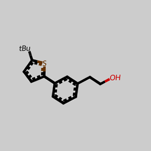 CC(C)(C)c1ccc(-c2cccc(CCO)c2)s1